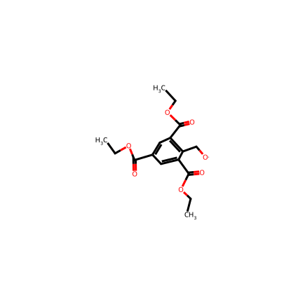 CCOC(=O)c1cc(C(=O)OCC)c(C[O])c(C(=O)OCC)c1